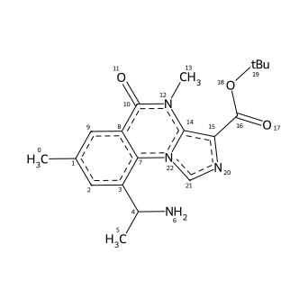 Cc1cc(C(C)N)c2c(c1)c(=O)n(C)c1c(C(=O)OC(C)(C)C)ncn21